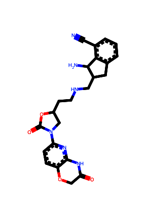 N#Cc1cccc2c1C(N)C(CNCCC1CN(c3ccc4c(n3)NC(=O)CO4)C(=O)O1)C2